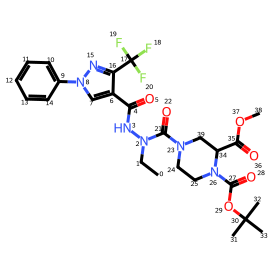 CCN(NC(=O)c1cn(-c2ccccc2)nc1C(F)(F)F)C(=O)N1CCN(C(=O)OC(C)(C)C)C(C(=O)OC)C1